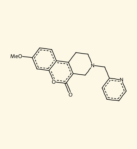 COc1ccc2c3c(c(=O)oc2c1)CN(Cc1ccccn1)CC3